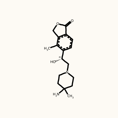 Cc1c([C@@H](O)CN2CCC(C)(N)CC2)ccc2c1COC2=O